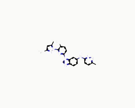 CC(=O)c1ccc(-n2cnc3ccc(Nc4ccc(C)nn4)cc32)nc1-n1nc(C#N)cc1C